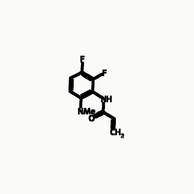 C=CC(=O)Nc1c(NC)ccc(F)c1F